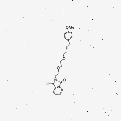 COc1ccc(CSCCOCCOCCN2C(=O)c3ccccc3C2=O)cc1